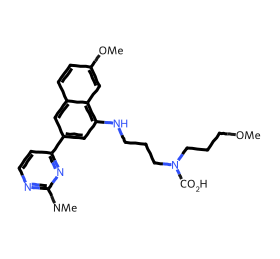 CNc1nccc(-c2cc(NCCCN(CCCOC)C(=O)O)c3cc(OC)ccc3c2)n1